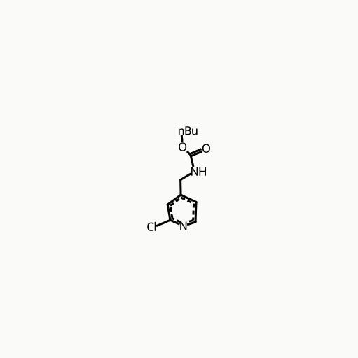 CCCCOC(=O)NCc1ccnc(Cl)c1